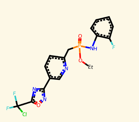 CCOP(=O)(Cc1ccc(-c2noc(C(F)(F)Cl)n2)cn1)Nc1ccccc1F